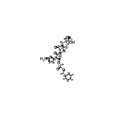 C=CC1(C(=O)O)CS[C@@H]2C(NC(=O)C(=NOCC(=O)OCc3ccccc3)c3csc(N)n3)C(=O)N2C1